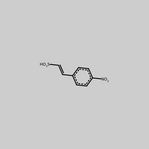 O=[N+]([O-])c1ccc(C=CS(=O)(=O)O)cc1